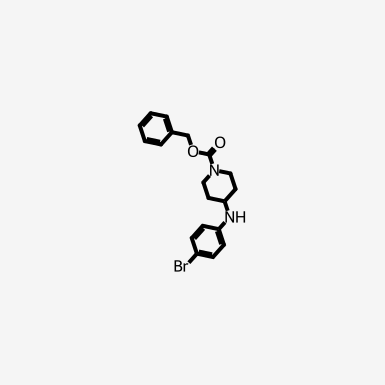 O=C(OCc1ccccc1)N1CCC(Nc2ccc(Br)cc2)CC1